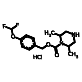 CC1CNCC(C)N1C(=O)OCc1ccc(OC(F)F)cc1.Cl